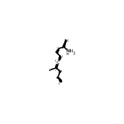 C=CCC(C)=C=C/C=C\C(=C)N